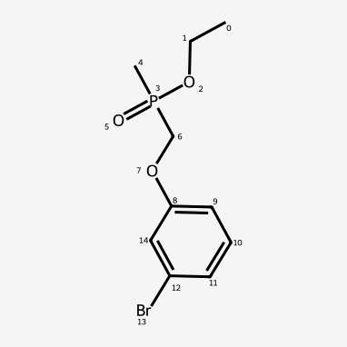 CCOP(C)(=O)COc1cccc(Br)c1